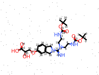 CC(C)(C)OC(=O)NCCN(CCNC(=O)OC(C)(C)C)C(=N)N1Cc2ccc(OC[C@@H](O)C(=O)O)cc2C1